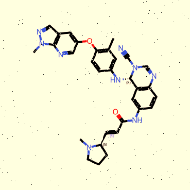 Cc1cc(N[C@H]2c3cc(NC(=O)/C=C/[C@H]4CCCN4C)ccc3N=CN2C#N)ccc1Oc1cnc2c(cnn2C)c1